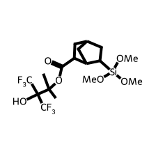 CO[Si](OC)(OC)C1CC2CC(C(=O)OC(C)(C)C(O)(C(F)(F)F)C(F)(F)F)C1C2